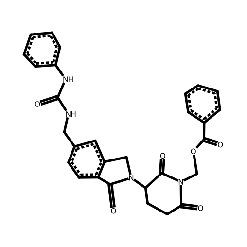 O=C(NCc1ccc2c(c1)CN(C1CCC(=O)N(COC(=O)c3ccccc3)C1=O)C2=O)Nc1ccccc1